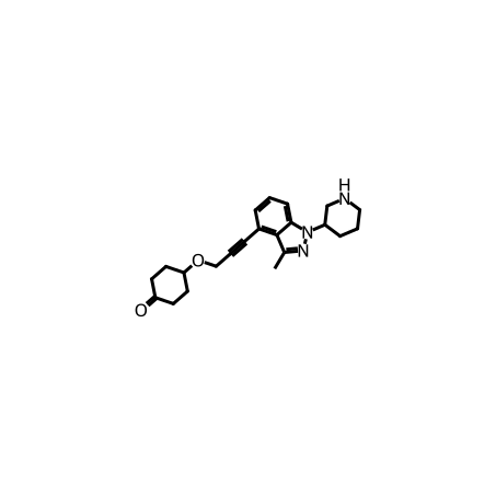 Cc1nn(C2CCCNC2)c2cccc(C#CCOC3CCC(=O)CC3)c12